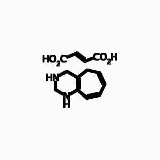 C1=CCC2=C(C=C1)NCNC2.O=C(O)C=CC(=O)O